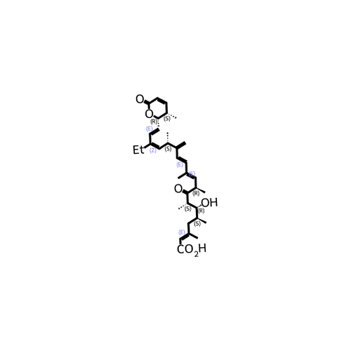 C=C(/C=C/C(C)=C/[C@@H](C)C(=O)[C@@H](C)[C@H](O)[C@@H](C)C/C(C)=C/C(=O)O)[C@@H](C)/C=C(\C=C\[C@@H]1OC(=O)C=C[C@@H]1C)CC